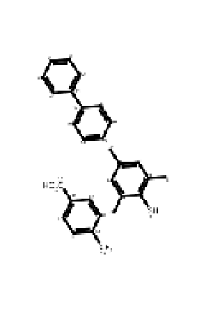 Cc1cc(C)c(S)c(C)c1.O=C(O)c1ccc(C(F)(F)F)cc1.c1ccc(-c2ccccc2)cc1